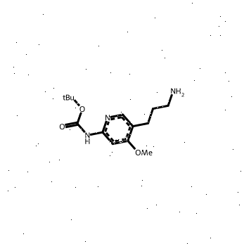 COc1cc(NC(=O)OC(C)(C)C)ncc1CCCN